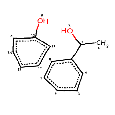 CC(O)c1ccccc1.Oc1ccccc1